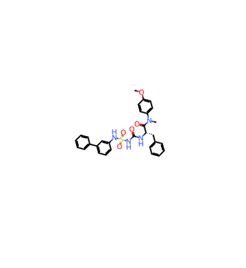 COc1ccc(N(C)C(=O)[C@H](Cc2ccccc2)NC(=O)NS(=O)(=O)Nc2cccc(-c3ccccc3)c2)cc1